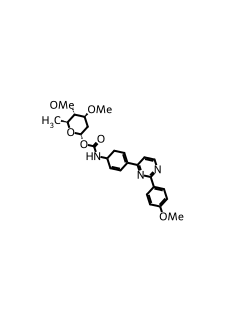 COc1ccc(-c2nccc(C3=CCC(NC(=O)O[C@H]4C[C@H](OC)[C@@H](OC)[C@H](C)O4)C=C3)n2)cc1